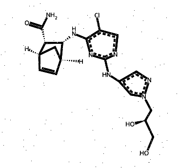 NC(=O)[C@@H]1[C@H](Nc2nc(Nc3cnn(C[C@H](O)CO)c3)ncc2Cl)[C@H]2C=C[C@@H]1C2